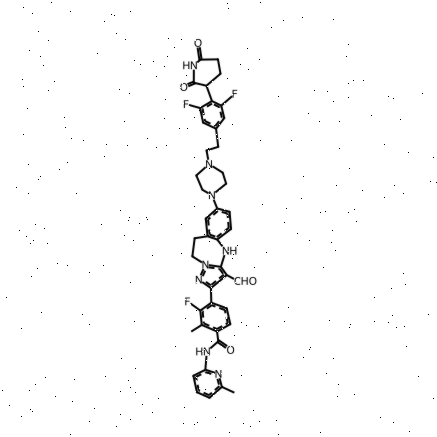 Cc1cccc(NC(=O)c2ccc(-c3nn4c(c3C=O)Nc3ccc(N5CCN(CCc6cc(F)c(C7CCC(=O)NC7=O)c(F)c6)CC5)cc3CC4)c(F)c2C)n1